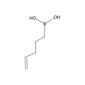 C=CCCCB(O)O